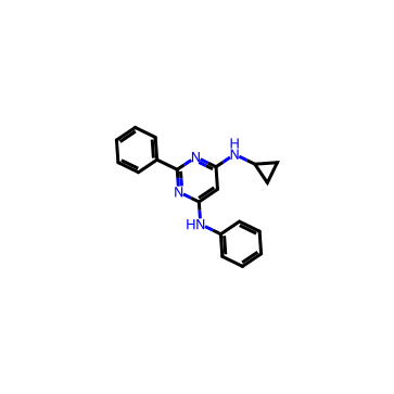 c1ccc(Nc2cc(NC3CC3)nc(-c3ccccc3)n2)cc1